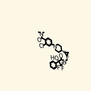 CN(C)C(=O)c1ccc(N2CCC([C@H]3C[C@H]3CN(C)C(=O)[C@@](O)(c3ccccc3)C(F)(F)F)CC2)cc1Cl